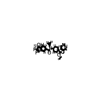 CCOC(=O)[C@]1(c2ccnnc2)CC[C@H](N(C(=O)c2ccc([C@](C)(O)C(F)(F)F)cc2)C2CC2)CC1